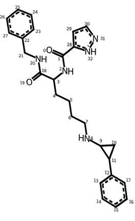 O=C(NC(CCCCNC1CC1c1ccccc1)C(=O)NCc1ccccc1)c1ccn[nH]1